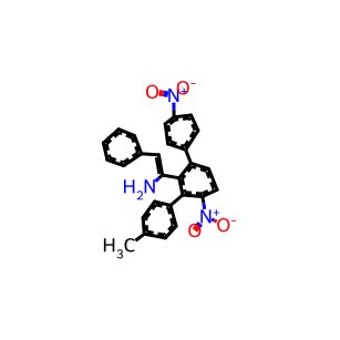 Cc1ccc(-c2c([N+](=O)[O-])ccc(-c3ccc([N+](=O)[O-])cc3)c2C(N)=Cc2ccccc2)cc1